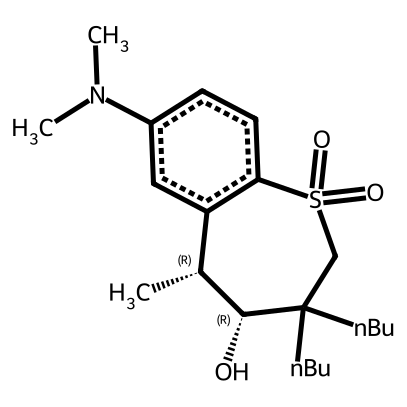 CCCCC1(CCCC)CS(=O)(=O)c2ccc(N(C)C)cc2[C@@H](C)[C@H]1O